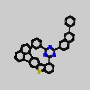 c1ccc(-c2ccc3ccc(-c4nc(-c5ccccc5)nc(-c5cccc6sc7cc8c(cc7c56)-c5cccc6cccc-8c56)n4)cc3c2)cc1